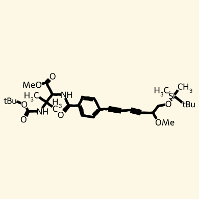 COC(=O)C(NC(=O)c1ccc(C#CC#CC(CO[Si](C)(C)C(C)(C)C)OC)cc1)C(C)(C)NC(=O)OC(C)(C)C